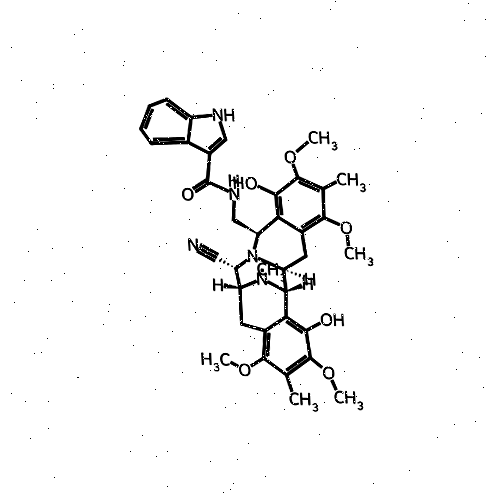 COc1c(C)c(OC)c2c(c1O)[C@H]1[C@@H]3Cc4c(OC)c(C)c(OC)c(O)c4[C@H](CNC(=O)c4c[nH]c5ccccc45)N3[C@@H](C#N)[C@@H](C2)N1C